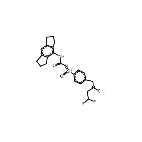 CN(Cc1ccc(/[SH](=O)=N/C(=O)Nc2c3c(cc4c2CCC4)CCC3)cc1)CC(F)F